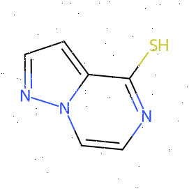 Sc1nccn2nccc12